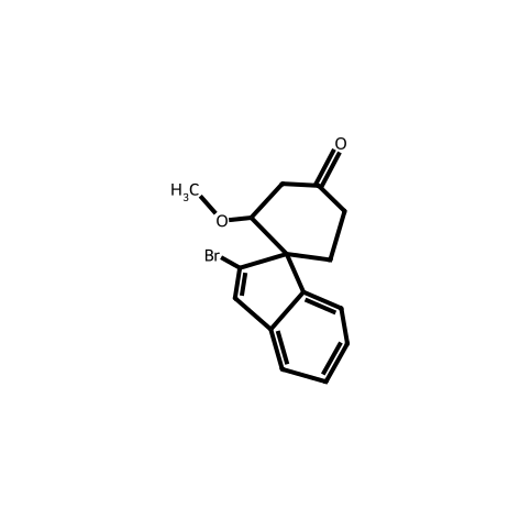 COC1CC(=O)CCC12C(Br)=Cc1ccccc12